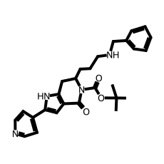 CC(C)(C)OC(=O)N1C(=O)c2cc(-c3ccncc3)[nH]c2CC1CCCNCc1ccccc1